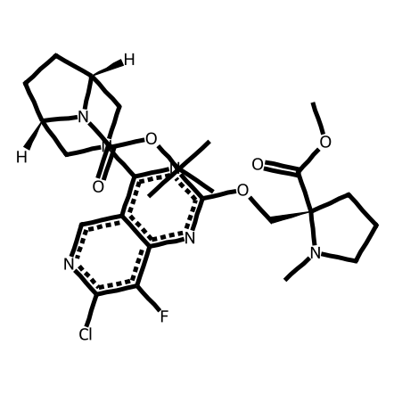 COC(=O)[C@]1(COc2nc(N3C[C@H]4CC[C@@H](C3)N4C(=O)OC(C)(C)C)c3cnc(Cl)c(F)c3n2)CCCN1C